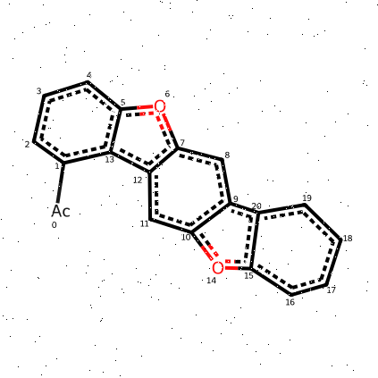 CC(=O)c1cccc2oc3cc4c(cc3c12)oc1ccccc14